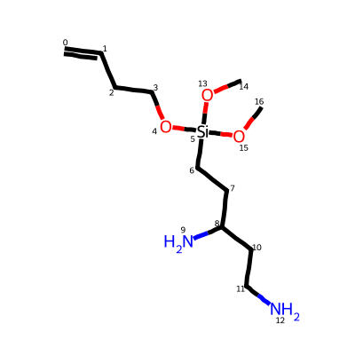 C=CCCO[Si](CCC(N)CCN)(OC)OC